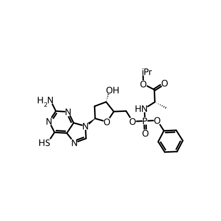 CC(C)OC(=O)[C@H](C)NP(=O)(OCC1O[C@@H](n2cnc3c(S)nc(N)nc32)C[C@@H]1O)Oc1ccccc1